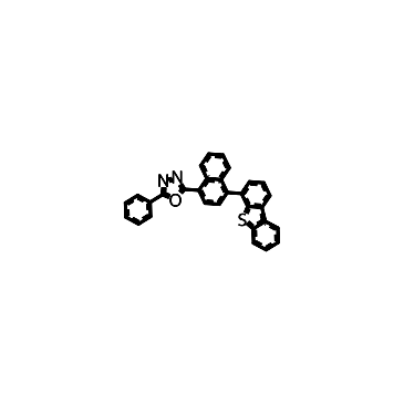 c1ccc(-c2nnc(-c3ccc(-c4cccc5c4sc4ccccc45)c4ccccc34)o2)cc1